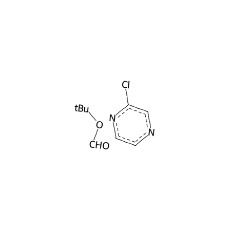 CC(C)(C)OC=O.Clc1cnccn1